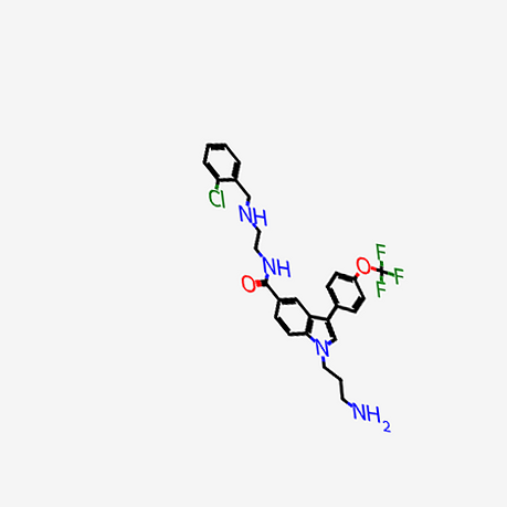 NCCCn1cc(-c2ccc(OC(F)(F)F)cc2)c2cc(C(=O)NCCNCc3ccccc3Cl)ccc21